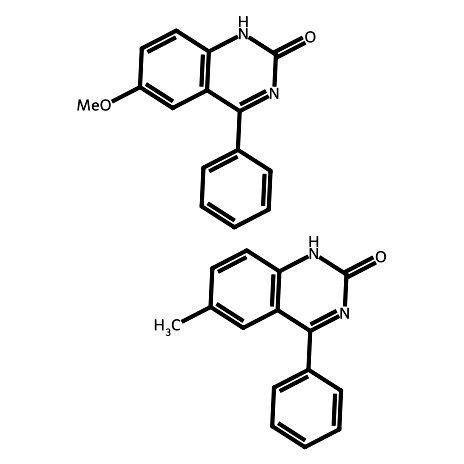 COc1ccc2[nH]c(=O)nc(-c3ccccc3)c2c1.Cc1ccc2[nH]c(=O)nc(-c3ccccc3)c2c1